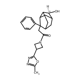 Cc1nnc(C2CN(C(=O)CC3(c4ccccc4)C4CC5CC3C(C4)[C@H]5O)C2)o1